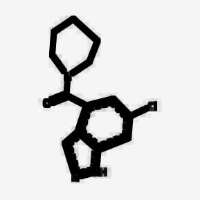 O=C(c1cc(Cl)cc2[nH]ncc12)N1CCCCC1